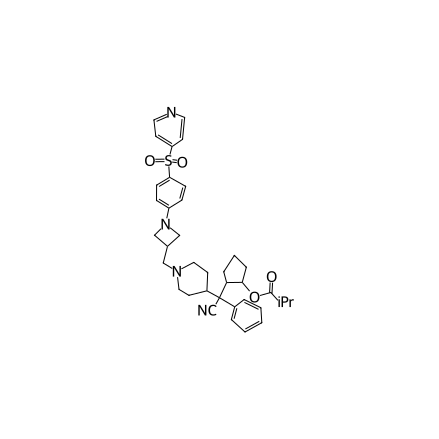 CC(C)C(=O)OC1CCCC1C(C#N)(c1ccccc1)C1CCN(CC2CN(c3ccc(S(=O)(=O)c4ccncc4)cc3)C2)CC1